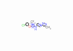 Cc1cc(N2CC3C(Nc4nc(Oc5cccc(Cl)c5)n(CC(F)(F)F)n4)C=CN32)ncn1